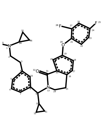 CN(CCc1cccc(C(C2CC2)N2CCc3ccc(Oc4ccc(F)cc4F)cc3C2=O)c1)C1CC1